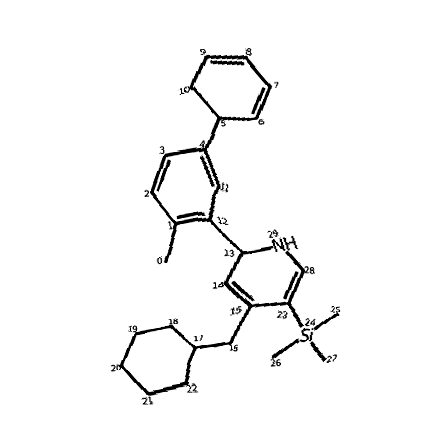 Cc1ccc(C2C=CC=CC2)cc1C1C=C(CC2CCCCC2)C([Si](C)(C)C)=CN1